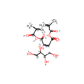 C=C(C)C(=O)OC(=O)/C=C\C(=O)OC(=O)C(=C)C.OCC(O)C(O)CO